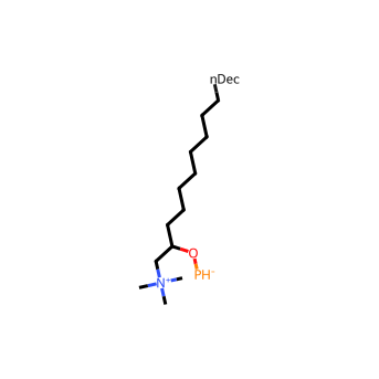 CCCCCCCCCCCCCCCCCCC(C[N+](C)(C)C)O[PH-]